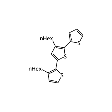 CCCCCCc1ccsc1-c1cc(CCCCCC)c(-c2cccs2)s1